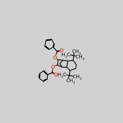 CC(C)(C)C1CCC(C(C)(C)C)C2C3CC(C(OC(=O)c4ccccc4)C3OC(=O)c3ccccc3)C21